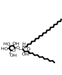 CCCCCCCCCC/C=C/[C@@H](O)[C@H](CO[C@@H]1O[C@H](CO)[C@@H](O)C(O)C1O)NC(=O)CCCCCCCCCCCCCCCCCCC